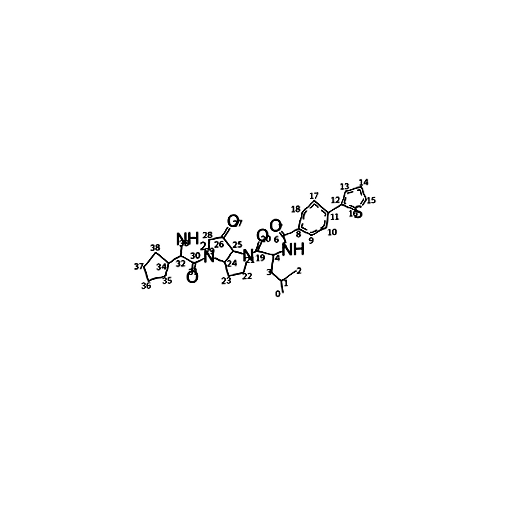 CC(C)CC(NC(=O)c1ccc(-c2cccs2)cc1)C(=O)N1CCC2C1C(=O)CN2C(=O)C(N)C1CCCC1